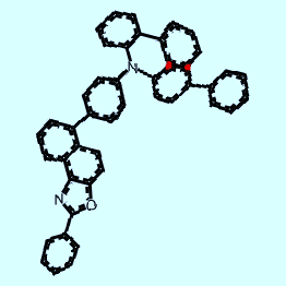 c1ccc(-c2ccc(N(c3ccc(-c4cccc5c4ccc4oc(-c6ccccc6)nc45)cc3)c3ccccc3-c3ccccc3)cc2)cc1